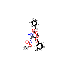 CC(C)(C)OC(=O)NC[C@H](NC(=O)OCc1ccccc1)C(=O)OCc1ccccc1